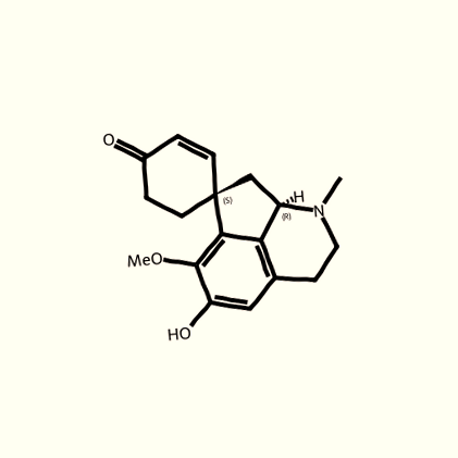 COc1c(O)cc2c3c1[C@]1(C=CC(=O)CC1)C[C@H]3N(C)CC2